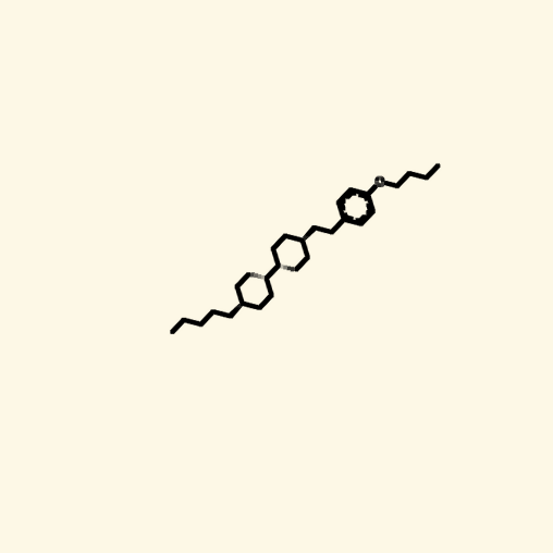 CCCCC[C@H]1CC[C@H]([C@H]2CC[C@H](CCc3ccc(OCCCC)cc3)CC2)CC1